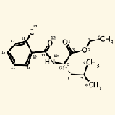 CCOC(=O)[C@H](CC(C)C)NC(=O)c1ccccc1Cl